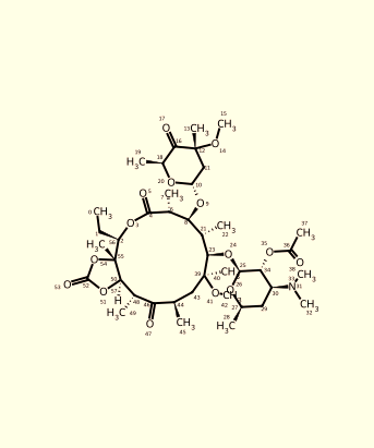 CC[C@H]1OC(=O)[C@H](C)[C@@H](O[C@H]2C[C@@](C)(OC)C(=O)[C@H](C)O2)[C@H](C)[C@@H](O[C@@H]2O[C@H](C)C[C@H](N(C)C)[C@H]2OC(C)=O)[C@@](C)(OC)C[C@@H](C)C(=O)[C@H](C)[C@H]2OC(=O)O[C@@]21C